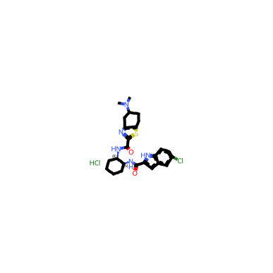 CN(C)C1CCc2sc(C(=O)N[C@@H]3CCCC[C@@H]3NC(=O)c3cc4cc(Cl)ccc4[nH]3)nc2C1.Cl